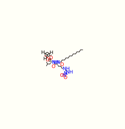 CCCCCCCCCCCCC(=O)N[C@@H](CCCNC1NN1[N+](=O)[O-])C(=O)N[C@@H](CC(C)C)B1O[C@@H]2C[C@@H]3C[C@@H](C3(C)C)[C@]2(C)O1